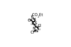 CCOC(=O)CN1Cc2sc(-c3nc(Cl)ncc3Cl)cc2C1=O